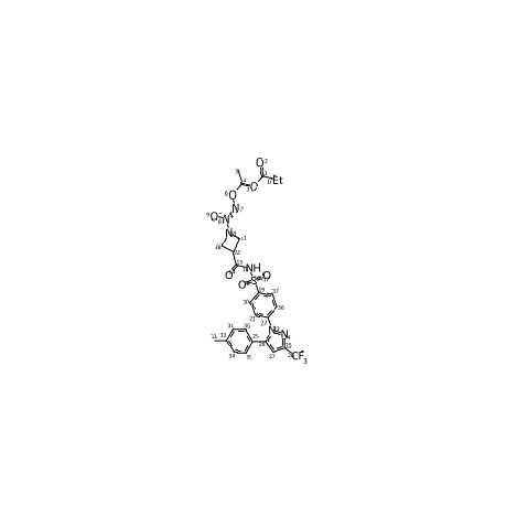 CCC(=O)OC(C)ON=[N+]([O-])N1CC(C(=O)NS(=O)(=O)c2ccc(-n3nc(C(F)(F)F)cc3-c3ccc(C)cc3)cc2)C1